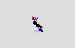 Cc1nc(N)c2c(n1)OC(C)(C)C(c1ccc([C@H]3CC[C@H](Cn4oc(=O)[nH]c4=O)CC3)cc1)=N2